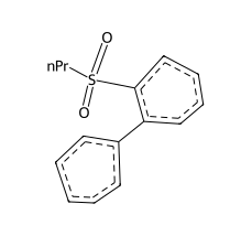 CCCS(=O)(=O)c1ccccc1-c1ccccc1